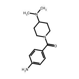 CN(C)C1CCN(C(=O)c2ccc(N)cc2)CC1